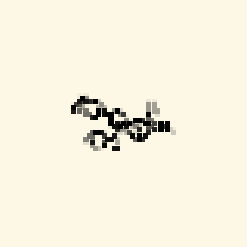 CC1(C)CC2CN(C(=O)NC3CCOCC3)CC1N(c1ccc(N3CCS(=O)(=O)CC3)cc1)C2